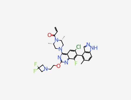 C=CC(=O)N1[C@H](C)CN(c2nc(OCCN3CC(F)(F)C3)nc3c(F)c(-c4c(C)ccc5[nH]ncc45)c(Cl)cc23)C[C@@H]1C